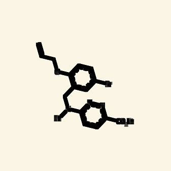 C=CCOc1ccc(Br)cc1CN(CC)c1ccc(C(=O)OCC)nn1